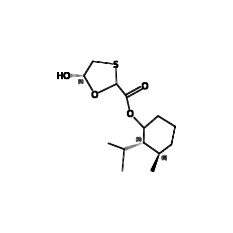 CC(C)[C@@H]1C(OC(=O)C2O[C@H](O)CS2)CCC[C@H]1C